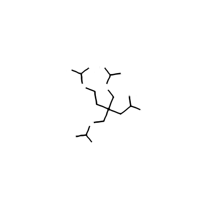 CC(C)CC(CCOC(C)C)(COC(C)C)COC(C)C